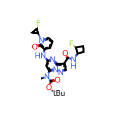 CN(C(=O)OC(C)(C)C)c1cc(Nc2cccn([C@H]3C[C@@H]3F)c2=O)nc2c(C(=O)NC3CC[C@@H]3F)cnn12